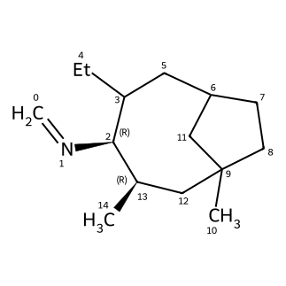 C=N[C@H]1C(CC)CC2CCC(C)(C2)C[C@H]1C